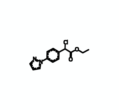 CCOC(=O)C(Cl)c1ccc(-n2cccn2)cc1